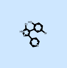 CCc1[nH]nc(-c2ccncc2)c1-c1cc(Br)ccc1O